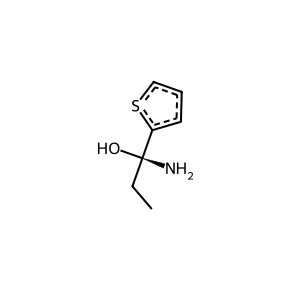 CC[C@](N)(O)c1cccs1